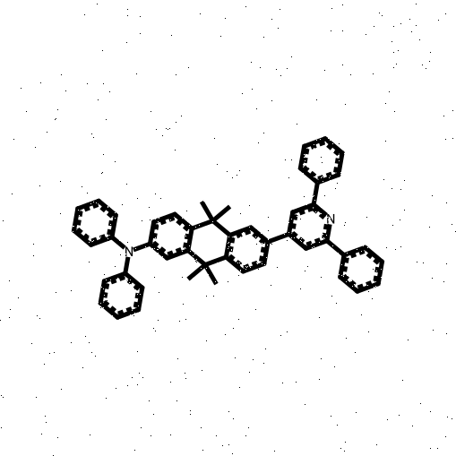 CC1(C)c2ccc(N(c3ccccc3)c3ccccc3)cc2C(C)(C)c2ccc(-c3cc(-c4ccccc4)nc(-c4ccccc4)c3)cc21